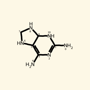 NC1=NC(N)=C2NCNC2N1